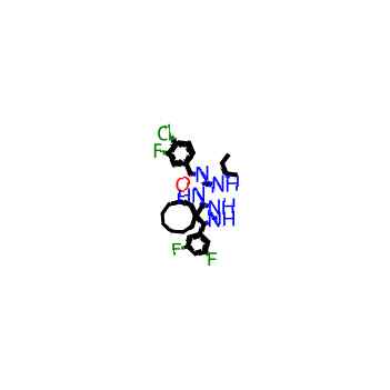 CCC(C)N/C(=N/C(=O)c1ccc(Cl)c(F)c1)NC1NNC(c2cc(F)cc(F)c2)C12CCCCCCCC2